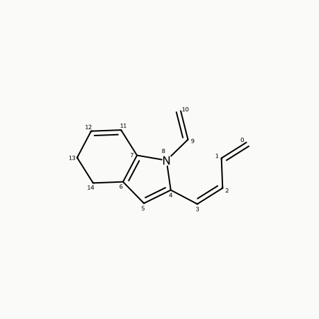 C=C/C=C\c1cc2c(n1C=C)C=CCC2